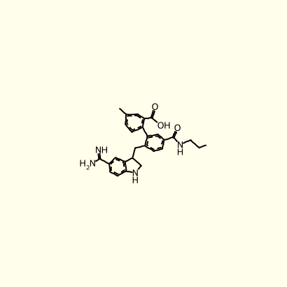 CCCNC(=O)c1ccc(CC2CNc3ccc(C(=N)N)cc32)c(-c2ccc(C)cc2C(=O)O)c1